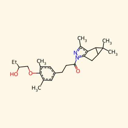 CCC(O)COc1c(C)cc(CCC(=O)n2nc(C)c3c2CC2C3C2(C)C)cc1C